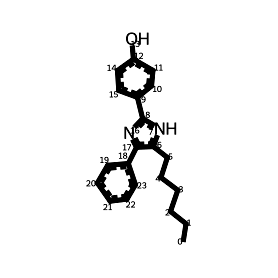 CCCCCCc1[nH]c(-c2ccc(O)cc2)nc1-c1ccccc1